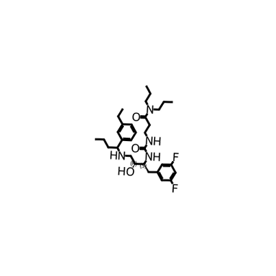 CCCC(NC[C@@H](O)[C@H](Cc1cc(F)cc(F)c1)NC(=O)NCCC(=O)N(CCC)CCC)c1cccc(CC)c1